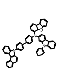 C1=CC2c3ccccc3OC2C(N(c2ccc(-c3ccc(-n4c5ccccc5c5c6ccccc6ccc54)cc3)cc2)c2ccc3c4ccccc4n(C4=CCCC=C4)c3c2)=C1